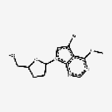 COc1ncnc2c1c(Br)cn2C1CCC(CO)O1